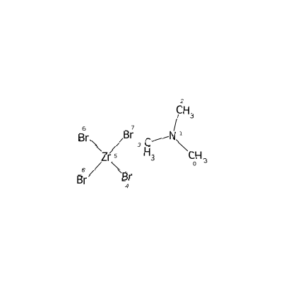 CN(C)C.[Br][Zr]([Br])([Br])[Br]